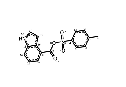 Cc1ccc(S(=O)(=O)OC(=O)c2cccc3[nH]ccc23)cc1